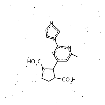 Cc1cc(C2C(C(=O)O)CCN2C(=O)O)nc(-n2ccnc2)n1